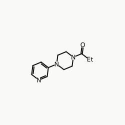 CCC(=O)N1CCN(c2cccnc2)CC1